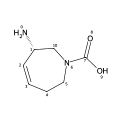 N[C@H]1C=CCCN(C(=O)O)C1